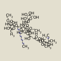 C=CCOC(=O)N[C@@H]1[C@H](O)[C@H](O[C@@H](/C=C/C=C/C=C/C=C/C=C/C)C[C@@H]2O[C@](O)(C[C@@H](O)C[C@@H](O)[C@H](O)CC[C@@H](O)C[C@@H](O)CC(=O)O[C@@H](C)[C@H](C)[C@H](O)[C@@H](C)/C=C/C)C[C@H](OC(=O)OCC=C)[C@H]2NC(=O)NO[C@@H]2OC(CO)[C@@H](O)C(O)C2O)O[C@H](C)[C@H]1O